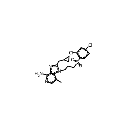 Cc1cnc(N)c2nc(CC3CC3)n(CCCS(=O)(=O)c3ccc(Cl)cc3Cl)c12